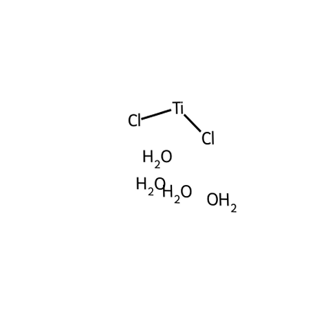 O.O.O.O.[Cl][Ti][Cl]